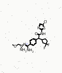 COCN(N)/N=C(\N)c1ccc(C(C(=O)Nc2ncc(Cl)s2)C2CCC(F)(F)C2)cc1